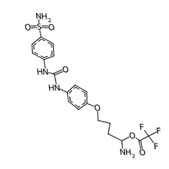 NC(CCCOc1ccc(NC(=O)Nc2ccc(S(N)(=O)=O)cc2)cc1)OC(=O)C(F)(F)F